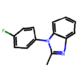 Cc1nc2ccccc2n1-c1ccc(F)cc1